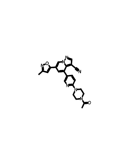 CC(=O)N1CCN(c2ccc(-c3cc(-c4cc(C)no4)cn4ncc(C#N)c34)cn2)CC1